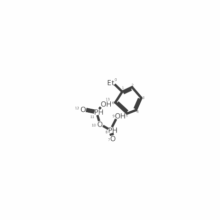 CCc1ccccc1.O=[PH](O)O[PH](=O)O